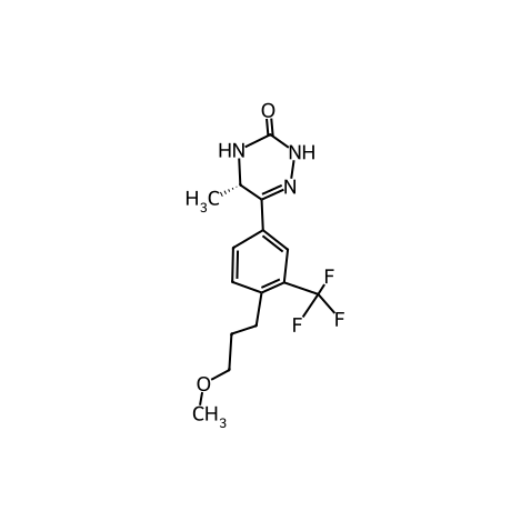 COCCCc1ccc(C2=NNC(=O)N[C@H]2C)cc1C(F)(F)F